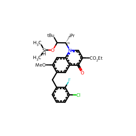 CCOC(=O)c1cn([C@@H](C(C)C)C(O[SiH](C)C)C(C)(C)C)c2cc(OC)c(Cc3cccc(Cl)c3F)cc2c1=O